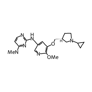 CNc1ccnc(Nc2cnc(OC)c(OC[C@@H]3CCN(C4CC4)C3)c2)n1